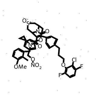 COc1cccc(CN(C(=O)C2=C(c3ccc(CCCOc4c(F)ccc(F)c4Cl)cc3)CC3C[S+]([O-])CC2N3C(=O)Oc2cccc(CO[N+](=O)[O-])c2)C2CC2)c1C